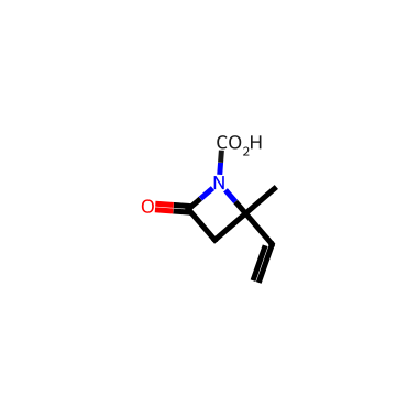 C=CC1(C)CC(=O)N1C(=O)O